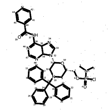 CN(C)P(=O)(Cl)OC[C@@H]1CN(C(c2ccccc2)(c2ccccc2)c2ccccc2)C[C@H](N2C=NC3C(NC(=O)c4ccccc4)=NC=NC32)O1